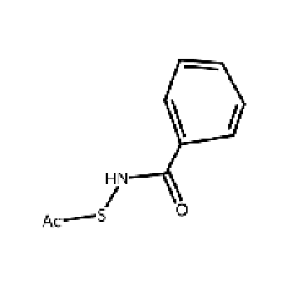 CC(=O)SNC(=O)c1ccccc1